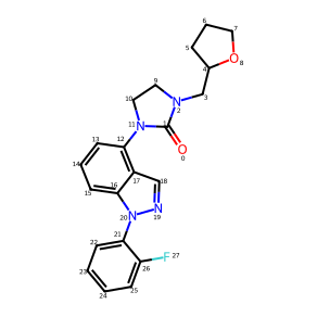 O=C1N(CC2CCCO2)CCN1c1cccc2c1cnn2-c1ccccc1F